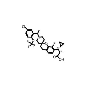 CC(c1cc(Cl)ccc1OC(F)(F)F)N1CCC2(CCc3ccc([C@H](C4CC4)[C@H](C)C(=O)O)c(F)c3O2)CC1